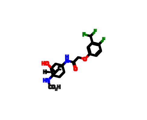 O=C(O)NC12CCC(NC(=O)COc3ccc(F)c(C(F)F)c3)(CC1)C[C@@H]2O